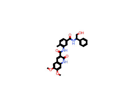 COc1cc2cc(C(=O)Nc3cc(C(=O)NC(CO)c4ccccc4)ccc3C)c(=O)[nH]c2cc1OC